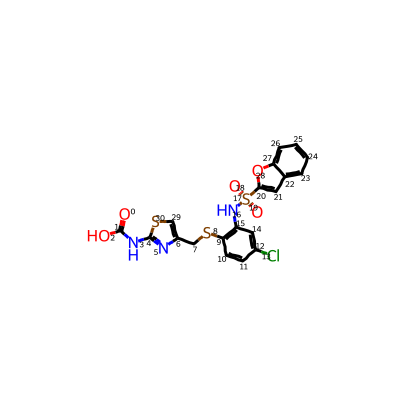 O=C(O)Nc1nc(CSc2ccc(Cl)cc2NS(=O)(=O)c2cc3ccccc3o2)cs1